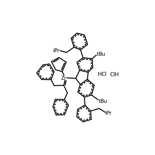 CC(C)Cc1ccccc1-c1cc2c(cc1C(C)(C)C)-c1cc(C(C)(C)C)c(-c3ccccc3CC(C)C)cc1[CH]2[Zr]([C]1=CC=CC1)=[C](Cc1ccccc1)Cc1ccccc1.Cl.Cl